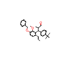 CC=Cc1ccc(OCc2ccccc2)c(OC)c1C(c1ccc(C(C)(C)C)cc1)C(C)C=O